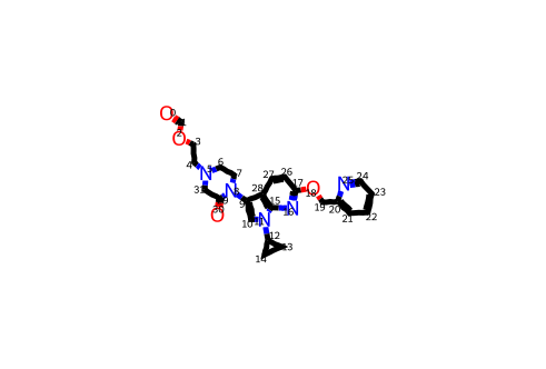 O=COCCN1CCN(c2cn(C3CC3)c3nc(OCc4ccccn4)ccc23)C(=O)C1